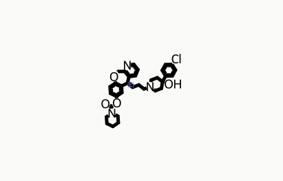 O=C(Oc1ccc2c(c1)/C(=C/CCN1CCC(O)(c3ccc(Cl)cc3)CC1)c1cccnc1CO2)N1CCCCC1